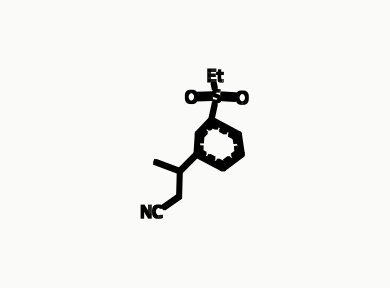 CCS(=O)(=O)c1cccc(C(C)CC#N)c1